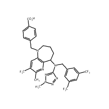 Cc1nc2c(cc1C(F)(F)F)N(Cc1ccc(C(=O)O)cc1)CCCC2N(Cc1cc(C(F)(F)F)cc(C(F)(F)F)c1)c1nnn(C)n1